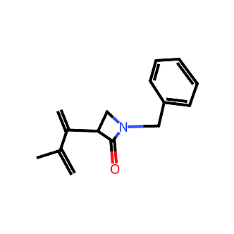 C=C(C)C(=C)C1CN(Cc2ccccc2)C1=O